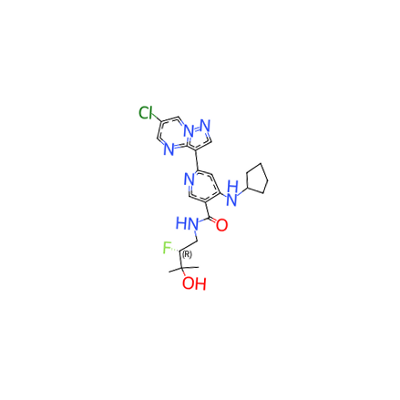 CC(C)(O)[C@H](F)CNC(=O)c1cnc(-c2cnn3cc(Cl)cnc23)cc1NC1CCCC1